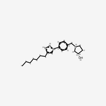 CCCCCCCc1cn(-c2ccc(CN3CC[C@H](O)C3)cc2)nn1